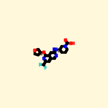 O=C(O)N1CCC[C@H](Nc2cc3c(O[C@@H]4CCOC4)nc(C(F)F)cc3cn2)C1